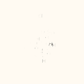 C[C@H](c1ccccc1)[C@](OCc1ccccc1)(C(=O)O)C(C)(C)COS(=O)(=O)CCCCl